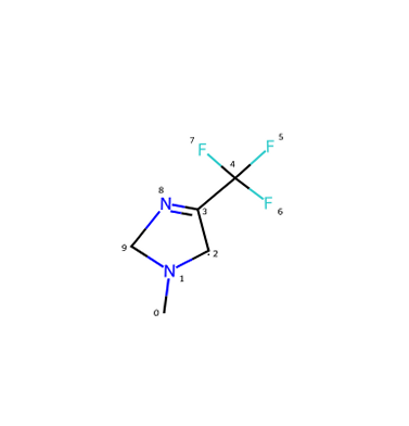 CN1[CH]C(C(F)(F)F)=NC1